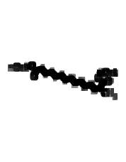 CCCCCCCCOC(=O)CCCCCCCCCCCCC(C)C(=O)OCCCCCCCC